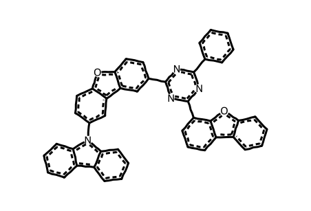 c1ccc(-c2nc(-c3ccc4oc5ccc(-n6c7ccccc7c7ccccc76)cc5c4c3)nc(-c3cccc4c3oc3ccccc34)n2)cc1